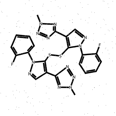 Cn1nnc(-c2cnn(-c3ccccc3F)c2SSc2c(-c3nnn(C)n3)cnn2-c2ccccc2F)n1